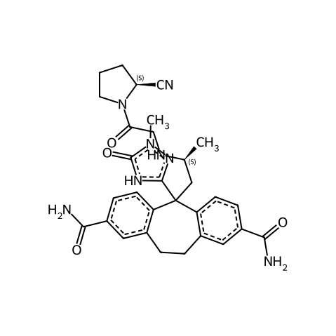 C[C@@H](CC1(c2nn(C)c(=O)[nH]2)c2ccc(C(N)=O)cc2CCc2cc(C(N)=O)ccc21)NCC(=O)N1CCC[C@H]1C#N